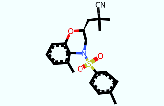 Cc1ccc(S(=O)(=O)N2C[C@H](CC(C)(C)C#N)Oc3cccc(C)c32)cc1